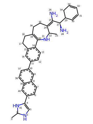 CC1NC=C(c2ccc3cc(-c4ccc5c(c4)CCC4=C5NC(C)/C(=C(/N)[C@H](N)C5C=CC=CC5)CC4)ccc3c2)N1